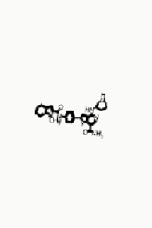 Cn1c(C(=O)Nc2ccc(-c3cc4c(N[C@H]5CCCNC5)ncc(C(N)=O)c4s3)cc2)cc2ccccc21